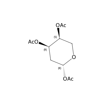 CC(=O)O[C@@H]1C[C@@H](OC(C)=O)[C@@H](OC(C)=O)CO1